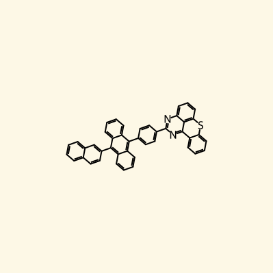 c1ccc2c(c1)Sc1cccc3nc(-c4ccc(-c5c6ccccc6c(-c6ccc7ccccc7c6)c6ccccc56)cc4)nc-2c13